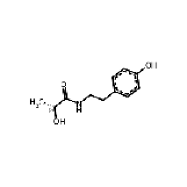 C[C@@H](O)C(=O)NCCc1ccc(O)cc1